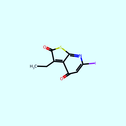 CCC1=C2C(=O)C=C(I)N=C2SC1=O